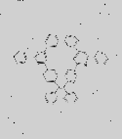 c1ccc(-c2cc(-c3ccc(-c4c(-c5ccc(-c6cc(-c7ccccc7)nc(-c7ccccc7)n6)cc5)c5ccccc5c5ccccc45)cc3)nc(-c3ccccc3)n2)cc1